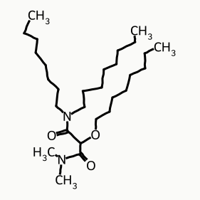 CCCCCCCCOC(C(=O)N(C)C)C(=O)N(CCCCCCCC)CCCCCCCC